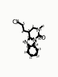 CN1CC(CCCl)c2nc3ccccc3n2C1=O